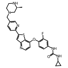 C[C@H]1CN(Cc2ccc(-c3cc4nccc(Oc5ccc(NC(=O)NC6CC6)cc5F)c4s3)nc2)CCN1